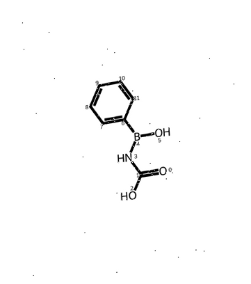 O=C(O)NB(O)c1ccccc1